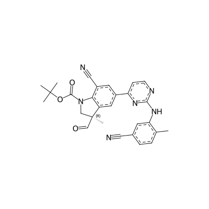 Cc1ccc(C#N)cc1Nc1nccc(-c2cc(C#N)c3c(c2)[C@@](C)(C=O)CN3C(=O)OC(C)(C)C)n1